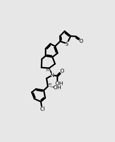 O=Cc1ccc(-c2ccc3c(c2)C[C@@H](N(C[C@H](O)c2cccc(Cl)c2)C(=O)O)CC3)s1